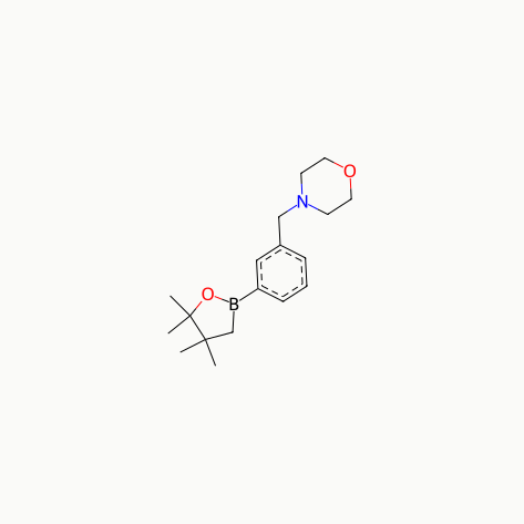 CC1(C)CB(c2cccc(CN3CCOCC3)c2)OC1(C)C